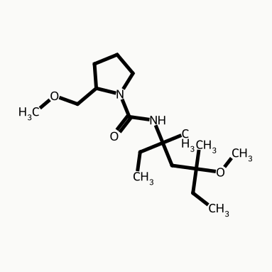 CCC(C)(CC(C)(CC)OC)NC(=O)N1CCCC1COC